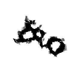 Nc1nc(Cl)nc2c1ncn2Cc1cccnc1